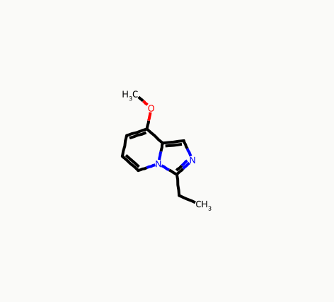 CCc1ncc2c(OC)cccn12